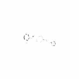 COc1ccc(F)cc1S(=O)(=O)N1CCC(CSc2nccn2C)CC1